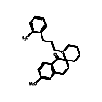 COc1ccc2c(c1)CCC1(CCCCN1CCCc1ccccc1C)C2=O